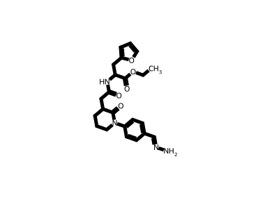 CCOC(=O)C(Cc1ccco1)NC(=O)CC1CCCN(c2ccc(C=NN)cc2)C1=O